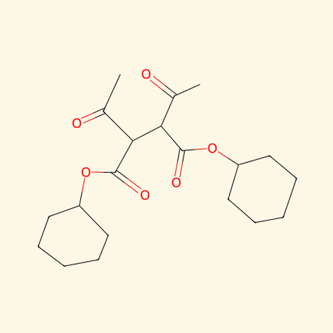 CC(=O)C(C(=O)OC1CCCCC1)C(C(C)=O)C(=O)OC1CCCCC1